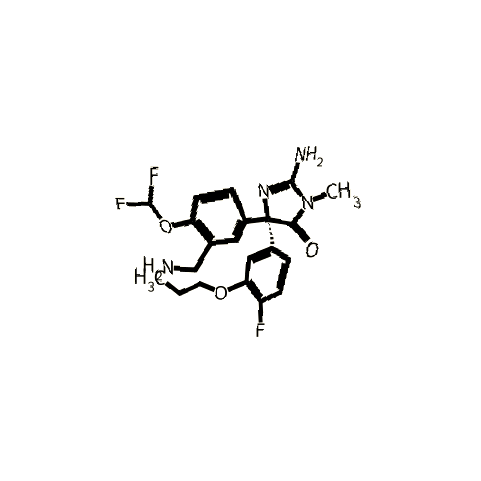 CCCOc1cc([C@]2(c3ccc(OC(F)F)c(CN)c3)N=C(N)N(C)C2=O)ccc1F